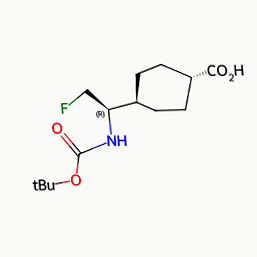 CC(C)(C)OC(=O)N[C@@H](CF)[C@H]1CC[C@H](C(=O)O)CC1